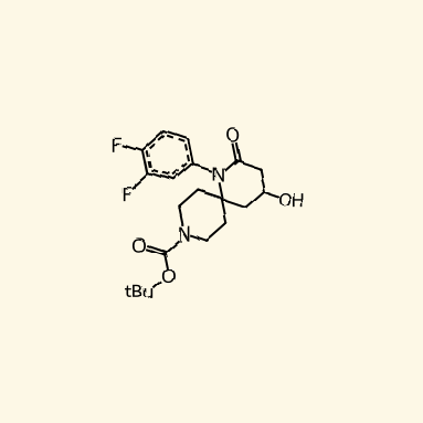 CC(C)(C)OC(=O)N1CCC2(CC1)CC(O)CC(=O)N2c1ccc(F)c(F)c1